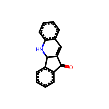 O=C1C2=Cc3ccccc3NC2c2ccccc21